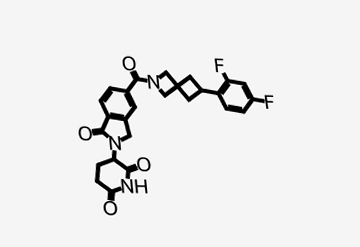 O=C1CCC(N2Cc3cc(C(=O)N4CC5(CC(c6ccc(F)cc6F)C5)C4)ccc3C2=O)C(=O)N1